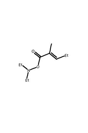 CC/C=C(\C)C(=O)ON(CC)CC